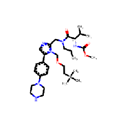 CCCN(Cc1ncc(-c2ccc(N3CCNCC3)cc2)n1COCC[Si](C)(C)C)C(=O)[C@@H](NC(=O)OC)C(C)C